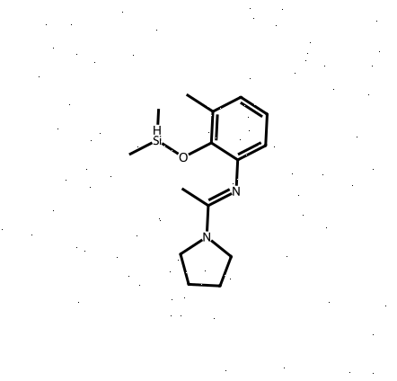 CC(=Nc1cccc(C)c1O[SiH](C)C)N1CCCC1